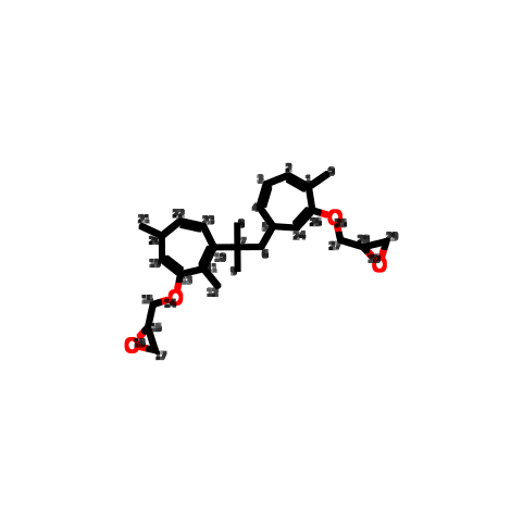 CC1=CC=CC(CC(C)(C)C2=C(C)C(OCC3CO3)=CC(C)C=C2)C=C1OCC1CO1